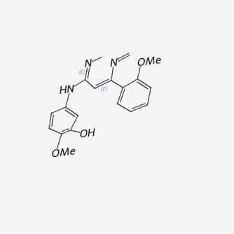 C=N/C(=C\C(=N/C)Nc1ccc(OC)c(O)c1)c1ccccc1OC